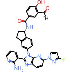 [2H]C(=O)c1cc(C(=O)N[C@H]2CCc3cc(-n4c(-c5cccnc5N)nc5ccc(-n6ccc(F)n6)nc54)ccc32)ccc1O